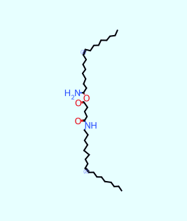 CCCCCCCC/C=C\CCCCCCCCNC(=O)CCCC(=O)OC(N)CCCCCCC/C=C\CCCCCCCC